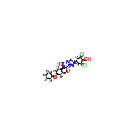 O=C(c1ncn(-c2cc(Cl)c(O)c(Cl)c2)n1)N(O)c1ccc(Oc2ccccc2)cc1